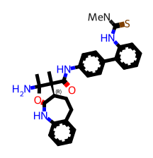 CNC(=S)Nc1ccccc1-c1ccc(NC(=O)C(C)([C@H]2CCc3ccccc3NC2=O)C(C)(C)N)cc1